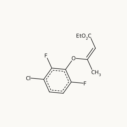 CCOC(=O)/C=C(/C)Oc1c(F)ccc(Cl)c1F